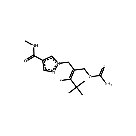 CNC(=O)c1cnn(CC(COC(N)=O)=C(F)C(C)(C)C)c1